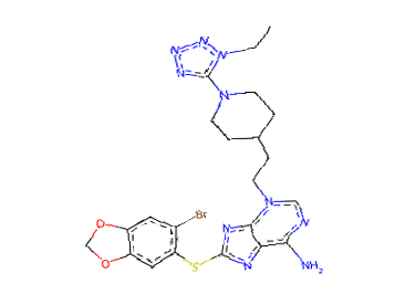 CCn1nnnc1N1CCC(CCn2cnc(N)c3nc(Sc4cc5c(cc4Br)OCO5)nc2-3)CC1